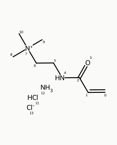 C=CC(=O)NCC[N+](C)(C)C.Cl.N.[Cl-]